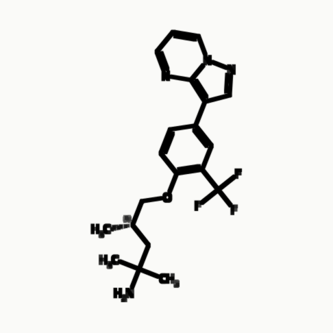 C[C@H](COc1ccc(-c2cnn3cccnc23)cc1C(F)(F)F)CC(C)(C)N